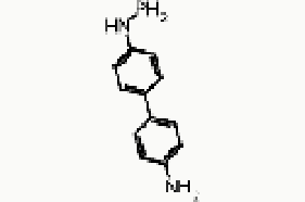 Nc1ccc(-c2ccc(NP)cc2)cc1